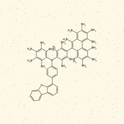 Bc1c(B)c(B)c(N(c2ccc(-c3cccc4c3oc3ccccc34)cc2)c2c(B)c(B)c(-c3c(B)c4c(B)c(B)c(B)c(B)c4c4c(B)c(B)c(B)c(B)c34)c(B)c2B)c(B)c1B